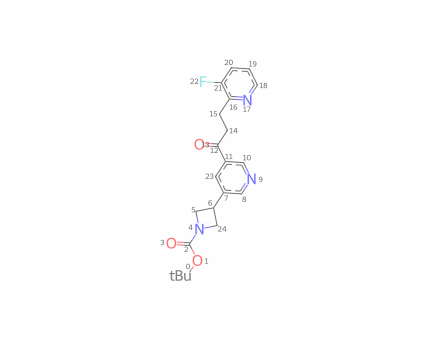 CC(C)(C)OC(=O)N1CC(c2cncc(C(=O)CCc3ncccc3F)c2)C1